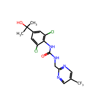 CC(C)(O)c1cc(Cl)c(NC(=O)NCc2ncc(C(F)(F)F)cn2)c(Cl)c1